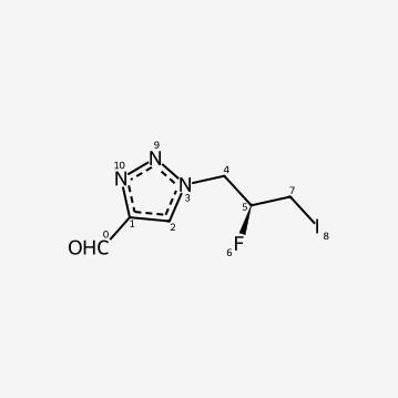 O=Cc1cn(C[C@H](F)CI)nn1